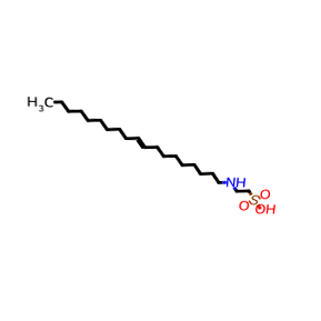 CCCCCCCCCC=CCCCCCCCCNCCS(=O)(=O)O